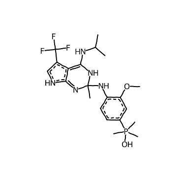 COc1cc(P(C)(C)(C)O)ccc1NC1(C)N=c2[nH]cc(C(F)(F)F)c2=C(NC(C)C)N1